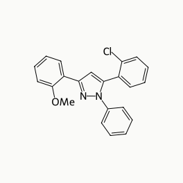 COc1ccccc1-c1cc(-c2ccccc2Cl)n(-c2ccccc2)n1